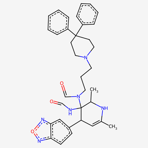 CC1=CC(c2ccc3nonc3c2)C(NC=O)(N(C=O)CCCN2CCC(c3ccccc3)(c3ccccc3)CC2)C(C)N1